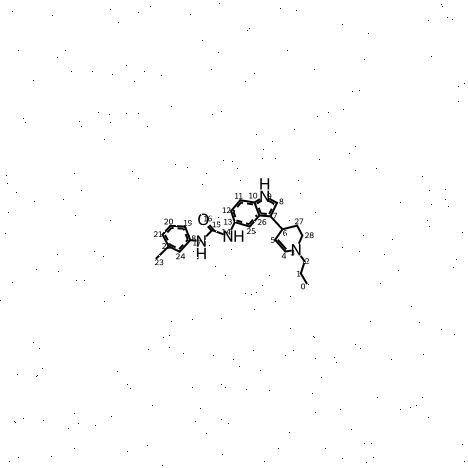 CCCN1C=CC(c2c[nH]c3ccc(NC(=O)Nc4cccc(C)c4)cc23)CC1